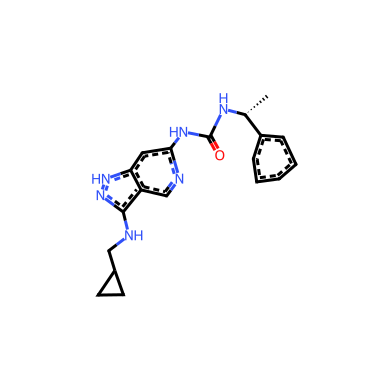 C[C@@H](NC(=O)Nc1cc2[nH]nc(NCC3CC3)c2cn1)c1ccccc1